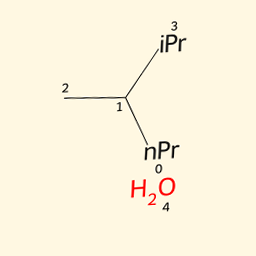 CCCC(C)C(C)C.O